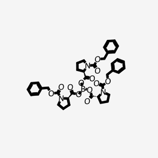 O=C(OB(OC(=O)[C@H]1CCCN1C(=O)OCc1ccccc1)OC(=O)[C@H]1CCCN1C(=O)OCc1ccccc1)[C@H]1CCCN1C(=O)OCc1ccccc1